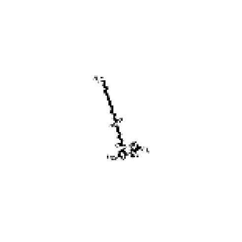 CCCCCCCCCCCCCC(=O)NCCCCCC(=O)OC1C[C@@H](CO)O[C@H]1n1cnc2c(N)ncnc21